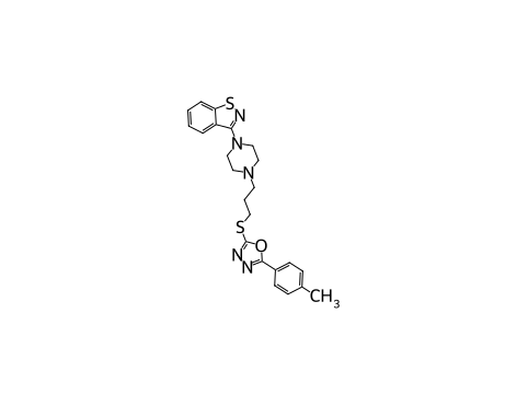 Cc1ccc(-c2nnc(SCCCN3CCN(c4nsc5ccccc45)CC3)o2)cc1